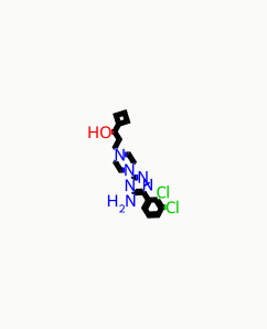 Nc1nc(N2CCN(CCC(O)C3CCC3)CC2)nnc1-c1cccc(Cl)c1Cl